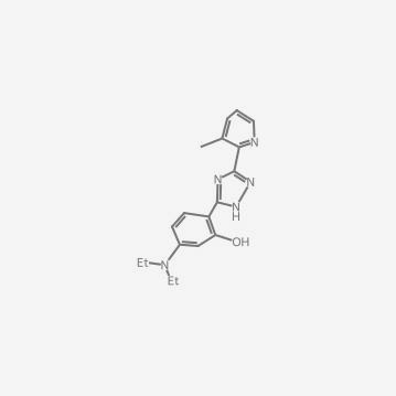 CCN(CC)c1ccc(-c2nc(-c3ncccc3C)n[nH]2)c(O)c1